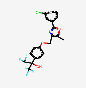 Cc1oc(-c2cccc(Cl)c2)nc1COc1ccc(C(O)(C(F)(F)F)C(F)(F)F)cc1